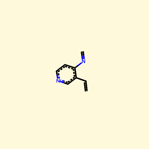 C=Cc1cnccc1N=C